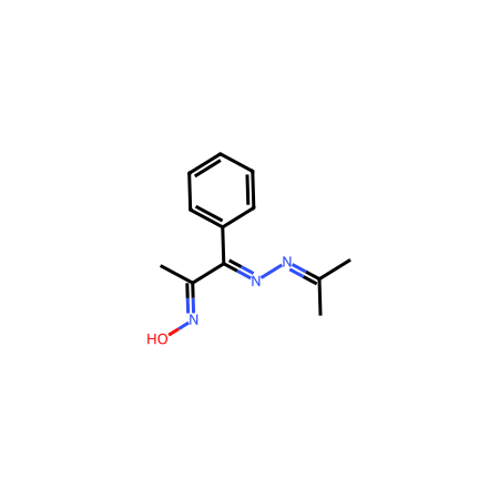 CC(C)=N/N=C(/C(C)=N/O)c1ccccc1